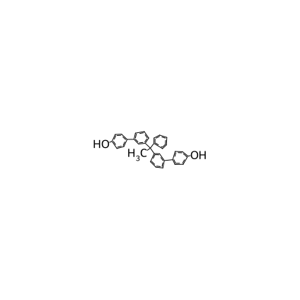 CC(c1ccccc1)(c1cccc(-c2ccc(O)cc2)c1)c1cccc(-c2ccc(O)cc2)c1